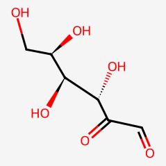 O=CC(=O)[C@@H](O)[C@@H](O)[C@H](O)CO